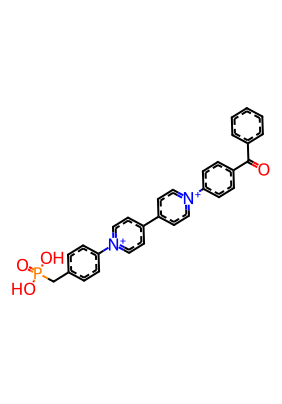 O=C(c1ccccc1)c1ccc(-[n+]2ccc(-c3cc[n+](-c4ccc(CP(=O)(O)O)cc4)cc3)cc2)cc1